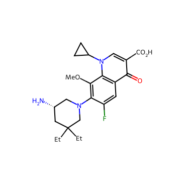 CCC1(CC)C[C@H](N)CN(c2c(F)cc3c(=O)c(C(=O)O)cn(C4CC4)c3c2OC)C1